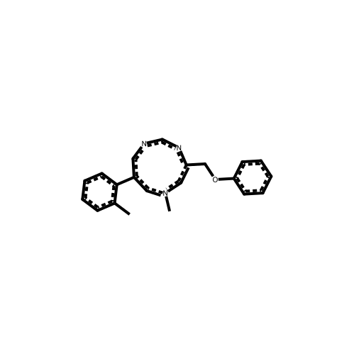 Cc1ccccc1-c1cncnc(COc2ccccc2)cn(C)c1